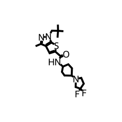 Cc1nn(CC(C)(C)C)c2sc(C(=O)NC3CCC(N4CCC(F)(F)C4)CC3)cc12